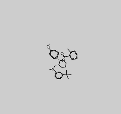 COc1ccc([C@H]2[C@@H](CN(C)c3cccc(C(C)(C)C)c3)CCCN2C(=O)c2ccccc2C)cc1